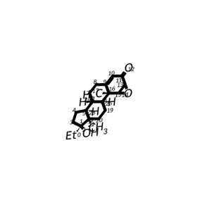 CC[C@]1(O)CC[C@H]2[C@@H]3CCC4=CC(=O)C5OC5[C@]4(C)[C@H]3CC[C@@]21C